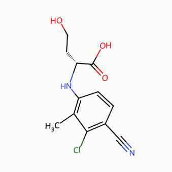 Cc1c(N[C@H](CCO)C(=O)O)ccc(C#N)c1Cl